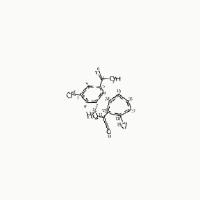 O=C(O)c1cccc(Cl)c1.O=C(O)c1ccccc1Cl